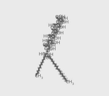 CCCCCCCCCCCCC/C=C/[C@@H](O)[C@H](CO[C@@H]1OC(CO)[C@@H](O[C@@H]2OC(CO)[C@H](O[C@@H]3OC(CO)[C@H](O)[C@H](O[C@H]4OC(CO)[C@H](O)[C@H](O[C@H]5OC(CO)[C@H](O)[C@H](O[C@H]6OC(CO)[C@H](O)[C@H](O)C6O)C5O)C4O)C3O)[C@H](O)C2O)[C@H](O)C1O)NC(=O)CCCCCCCCCCCCCCCCCCCCC